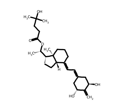 C=C1[C@H](O)CC(=C/C=C2\CCC[C@]3(C)[C@@H]([C@H](C)OC(=O)CCC(C)(C)O)CC[C@@H]23)C[C@H]1O